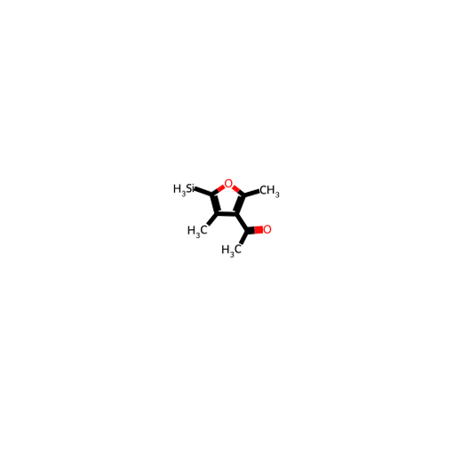 CC(=O)c1c(C)oc([SiH3])c1C